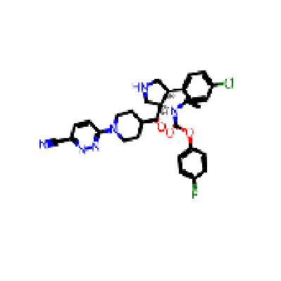 CC(C)N(C(=O)Oc1ccc(F)cc1)[C@]1(C(=O)C2CCN(c3ccc(C#N)nn3)CC2)CNC[C@H]1c1ccc(Cl)cc1